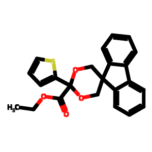 CCOC(=O)C1(c2cccs2)OCC2(CO1)c1ccccc1-c1ccccc12